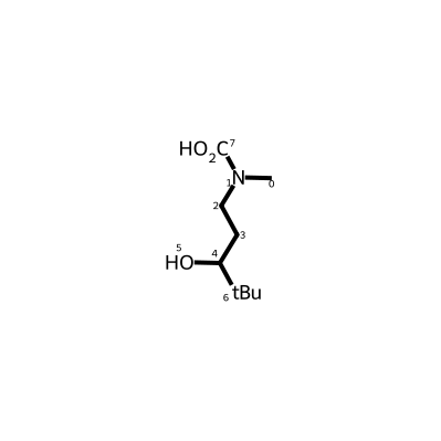 CN(CCC(O)C(C)(C)C)C(=O)O